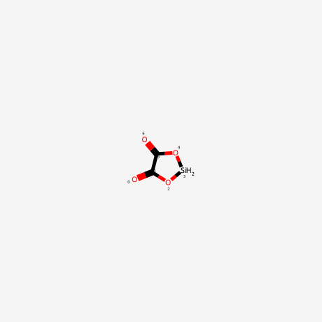 O=C1O[SiH2]OC1=O